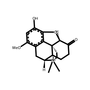 COc1cc(O)c2c3c1C[C@@H]1[C@@H]4CCC(=O)[C@H](O2)[C@]34CC[N+]1(C)C